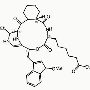 CCC(=O)CCCCC[C@@H]1NC(=O)[C@H]2CCCCC2C(=O)[C@H]2NC(=CNC2CC)[C@H](CC2=CC(OC)c3ccccc32)OC1=O